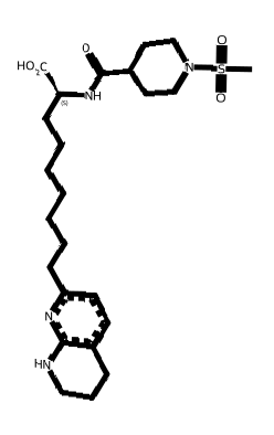 CS(=O)(=O)N1CCC(C(=O)N[C@@H](CCCCCCCc2ccc3c(n2)NCCC3)C(=O)O)CC1